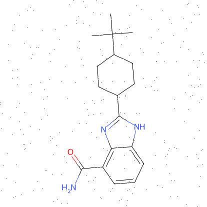 CC(C)(C)C1CCC(c2nc3c(C(N)=O)cccc3[nH]2)CC1